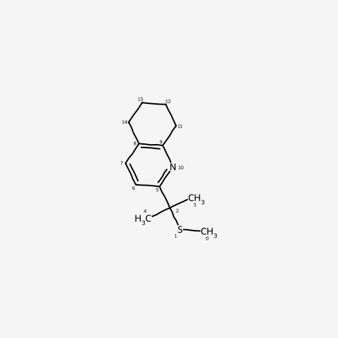 CSC(C)(C)c1ccc2c(n1)CCCC2